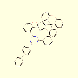 c1ccc(-c2ccc(-c3nc(-c4ccccc4)nc(-c4cccc5oc6cc7c(cc6c45)-c4ccccc4C74c5ccccc5Oc5ccccc54)n3)cc2)cc1